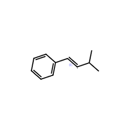 CC(C)/[C]=C/c1ccccc1